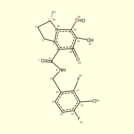 C[C@H]1CCc2c(C(=O)NCc3ccc(F)c(Cl)c3F)c(=O)c(O)c(C=O)n21